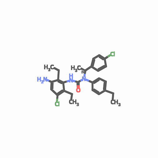 CCc1ccc(N(C(=O)Nc2c(CC)c(N)cc(Cl)c2CC)[C@@H](C)c2ccc(Cl)cc2)cc1